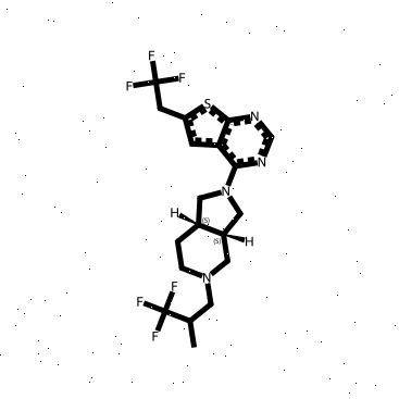 CC(CN1CC[C@@H]2CN(c3ncnc4sc(CC(F)(F)F)cc34)C[C@@H]2C1)C(F)(F)F